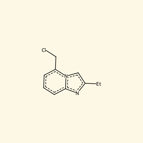 CCc1cn2c(CCl)cccc2n1